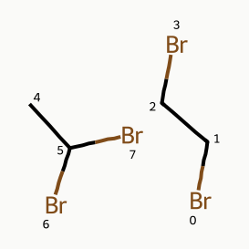 BrCCBr.CC(Br)Br